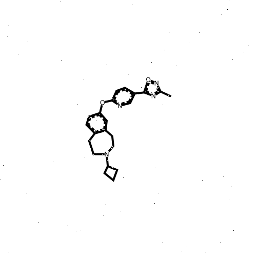 Cc1noc(-c2ccc(Oc3ccc4c(c3)CCN(C3CCC3)CC4)nc2)n1